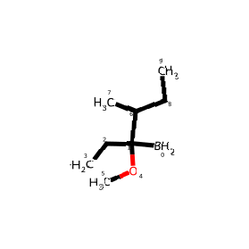 BC(C[CH2])(OC)C(C)CC